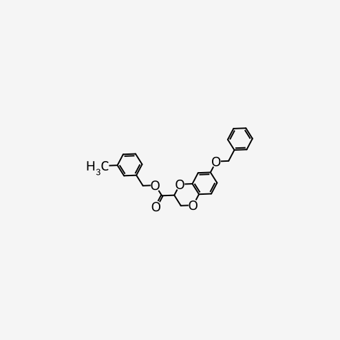 Cc1cccc(COC(=O)C2COc3ccc(OCc4ccccc4)cc3O2)c1